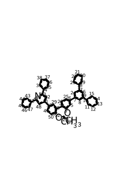 CC1(C)Oc2cc(-c3cc(-c4ccccc4)cc(-c4ccccc4)c3)ccc2-c2cc(-c3cc(-c4ccccc4)nc(-c4ccccc4)c3)ccc2O1